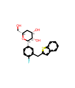 OC[C@@H]1C[C@H](O)[C@H](O)[C@H](c2ccc(F)c(Cc3cc4ccccc4s3)c2)O1